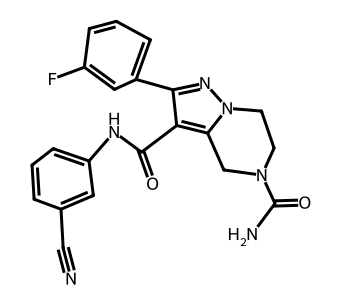 N#Cc1cccc(NC(=O)c2c(-c3cccc(F)c3)nn3c2CN(C(N)=O)CC3)c1